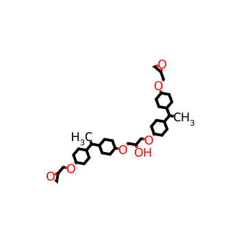 CC(C1CCC(OCC(O)COC2CCC(C(C)C3CCC(OCC4CO4)CC3)CC2)CC1)C1CCC(OCC2CO2)CC1